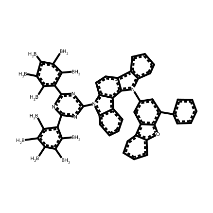 Bc1c(B)c(B)c(-c2nc(-c3c(B)c(B)c(B)c(B)c3B)nc(-n3c4ccccc4c4c3ccc3c5ccccc5n(-c5cc(-c6ccccc6)c6oc7ccccc7c6c5)c34)n2)c(B)c1B